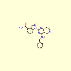 NC(=O)c1cc(F)cc2c1cnn2-c1nc2c(c(NCc3ccccc3)n1)CNCC2